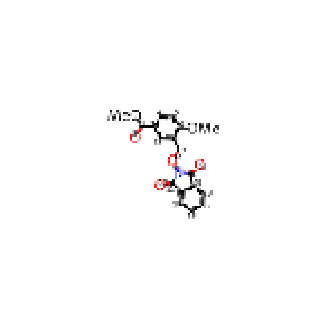 COC(=O)c1ccc(OC)c(CON2C(=O)c3ccccc3C2=O)c1